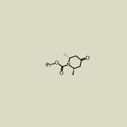 CC(C)OC(=O)N1[C@H](C)CC(=O)C[C@H]1C